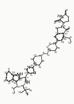 C=C1CCC(N2Cc3cc(N4CCN(CCC5CCN(c6ncc(C(NCC(C)(C)F)c7[nH]c8ccccc8c7CCC)cn6)CC5)CC4)cc(CC)c3C2=C)C(=C)N1